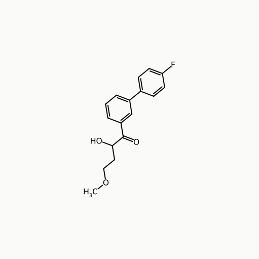 COCCC(O)C(=O)c1cccc(-c2ccc(F)cc2)c1